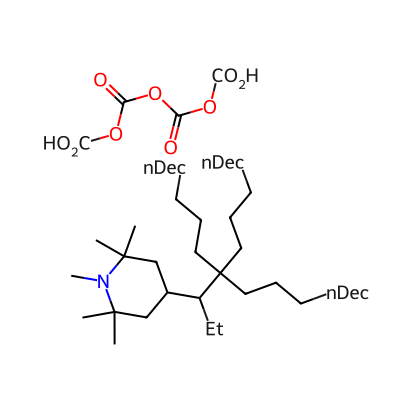 CCCCCCCCCCCCCC(CCCCCCCCCCCCC)(CCCCCCCCCCCCC)C(CC)C1CC(C)(C)N(C)C(C)(C)C1.O=C(O)OC(=O)OC(=O)OC(=O)O